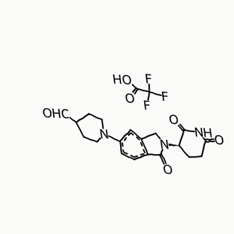 O=C(O)C(F)(F)F.O=CC1CCN(c2ccc3c(c2)CN([C@@H]2CCC(=O)NC2=O)C3=O)CC1